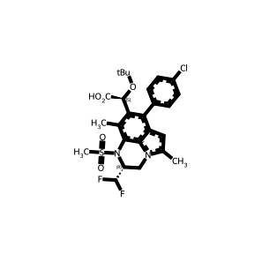 Cc1c([C@H](OC(C)(C)C)C(=O)O)c(-c2ccc(Cl)cc2)c2cc(C)n3c2c1N(S(C)(=O)=O)[C@@H](C(F)F)C3